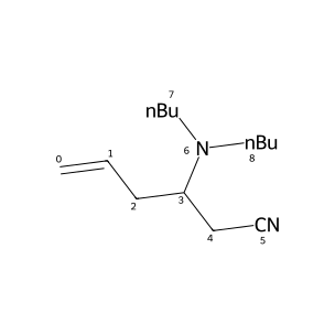 C=CCC(CC#N)N(CCCC)CCCC